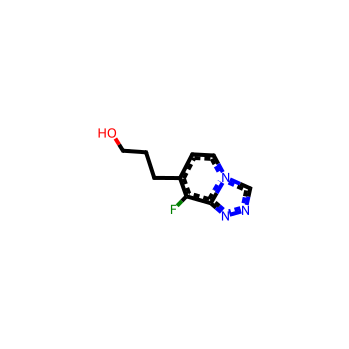 OCCCc1ccn2cnnc2c1F